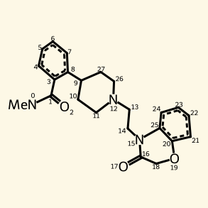 CNC(=O)c1ccccc1C1CCN(CCN2C(=O)COc3ccccc32)CC1